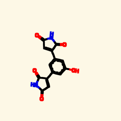 O=C1C=C(c2cc(O)cc(C3=CC(=O)NC3=O)c2)C(=O)N1